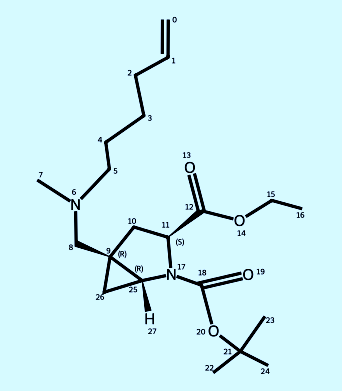 C=CCCCCN(C)C[C@@]12C[C@@H](C(=O)OCC)N(C(=O)OC(C)(C)C)[C@@H]1C2